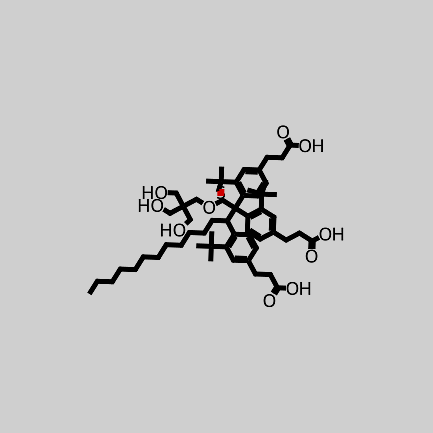 CCCCCCCCCCCCC(c1ccc(CCC(=O)O)cc1C(C)(C)C)C(C(=S)OCC(CO)(CO)CO)(c1ccc(CCC(=O)O)cc1C(C)(C)C)c1ccc(CCC(=O)O)cc1C(C)(C)C